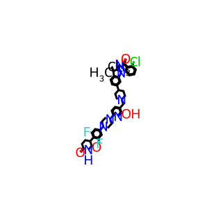 CC1(C)c2ccc(C3CCN(Cc4ccc(N5CCN(c6cc(F)c(C7CCC(=O)NC7=O)c(F)c6)CC5)nc4O)CC3)cc2-n2c1nc(=O)c1c(Cl)cccc12